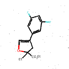 CCOC(=O)C1(CC)CC(c2cc(F)cc(F)c2)=CO1